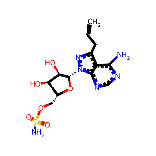 C=CCc1nn([C@@H]2O[C@H](COS(N)(=O)=O)[C@@H](O)[C@H]2O)c2ncnc(N)c12